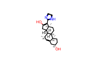 C[C@H]1C=C2C[C@@H](O)CC[C@]2(C)[C@H]2CC[C@]3(C)C(c4ncc[nH]4)=C(O)C[C@H]3[C@H]12